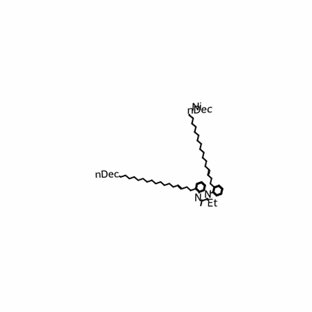 CCCCCCCCCCCCCCCCCCCCCCCC=CCCc1ccccc1N=C(C)C(CC)=Nc1ccccc1CCC=CCCCCCCCCCCCCCCCCCCCCCCC.[Ni]